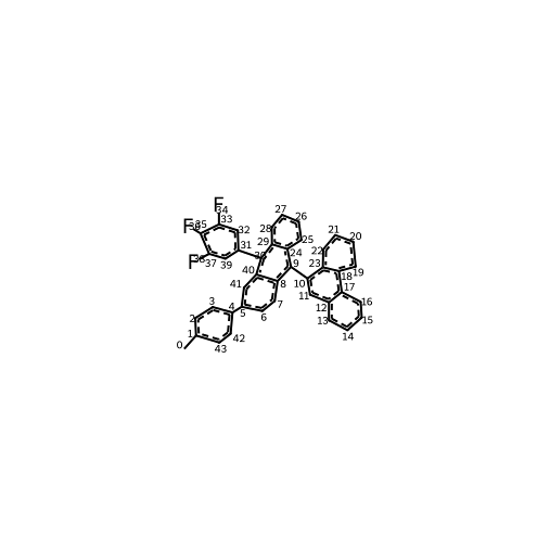 Cc1ccc(-c2ccc3c(-c4cc5ccccc5c5ccccc45)c4ccccc4c(-c4cc(F)c(F)c(F)c4)c3c2)cc1